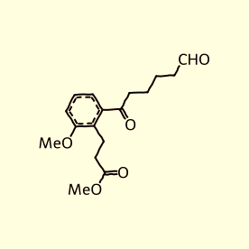 COC(=O)CCc1c(OC)cccc1C(=O)CCCCC=O